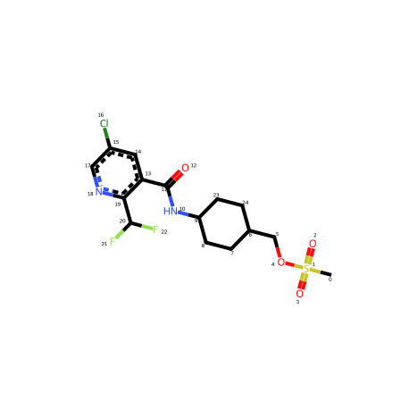 CS(=O)(=O)OCC1CCC(NC(=O)c2cc(Cl)cnc2C(F)F)CC1